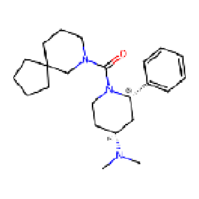 CN(C)[C@@H]1CCN(C(=O)N2CCCC3(CCCC3)C2)[C@H](c2ccccc2)C1